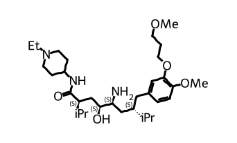 CCN1CCC(NC(=O)[C@@H](C[C@H](O)[C@@H](N)C[C@H](Cc2ccc(OC)c(OCCCOC)c2)C(C)C)C(C)C)CC1